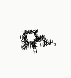 CC(=O)N[C@H](CCCNC(=N)N)C(=O)N[C@H]1CCC(=O)NCCNC(=O)CNC(=O)CNC(=O)[C@@H](Cc2ccc3ccccc3c2)NC(=O)[C@H](Cc2c[nH]cn2)NC1=O